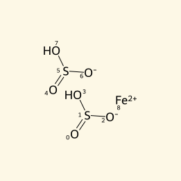 O=S([O-])O.O=S([O-])O.[Fe+2]